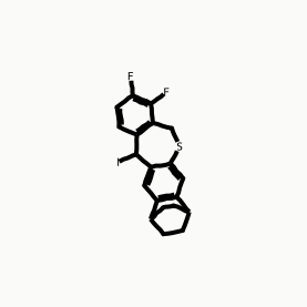 Fc1ccc2c(c1F)CSc1cc3c(cc1C2I)C1CCC3CC1